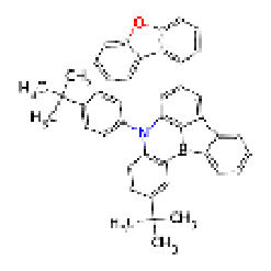 CC(C)(C)c1ccc(N2c3ccc(C(C)(C)C)cc3B3c4ccccc4-c4cc(-c5cccc6oc7ccccc7c56)cc2c43)cc1